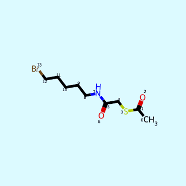 CC(=O)SCC(=O)NCCCCCBr